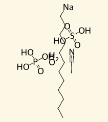 CC#N.CCCCCCCCCCC[CH2][Na].O.O=P(O)(O)O.O=S(=O)(O)O